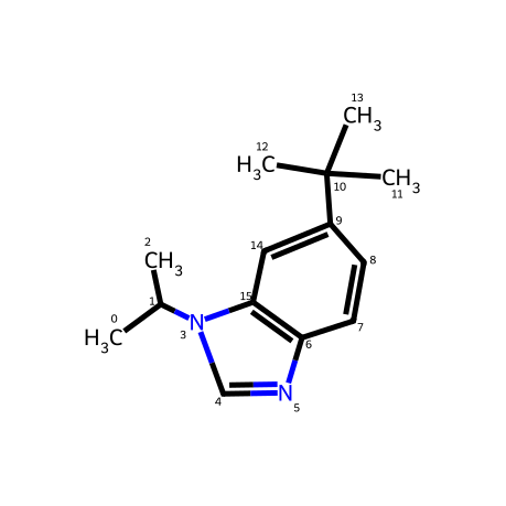 CC(C)n1cnc2ccc(C(C)(C)C)cc21